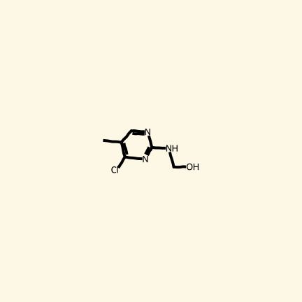 Cc1cnc(NCO)nc1Cl